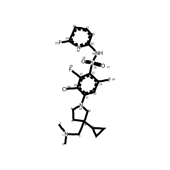 CN(C)CC1(C2CC2)CCN(c2cc(F)c(S(=O)(=O)Nc3cccc(F)n3)c(F)c2Cl)C1